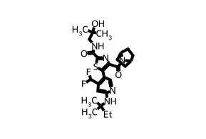 CCC(C)(C)Nc1cc(C(F)F)c(-c2sc(C(=O)NCC(C)(C)O)nc2C(=O)N2C3CCC2CC3)cn1